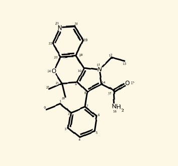 CCc1ccccc1-c1c2c(n(CC)c1C(N)=O)-c1ccncc1OC2(C)C